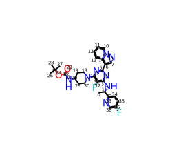 CC(Nc1nc(-c2cnn3ccccc23)nc(N2CCC(NC(=O)OC(C)(C)C)CC2)c1F)c1ccc(F)cn1